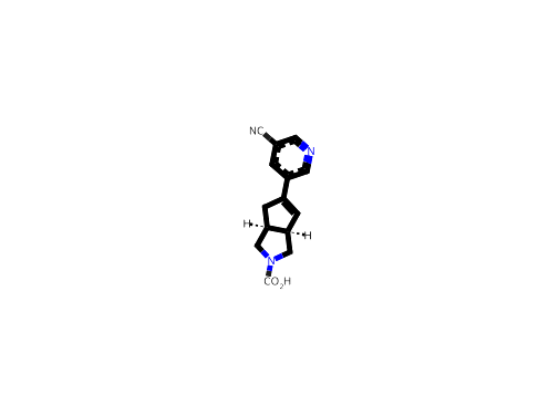 N#Cc1cncc(C2=C[C@H]3CN(C(=O)O)C[C@H]3C2)c1